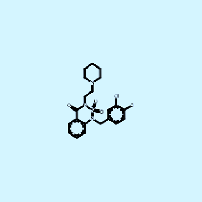 O=C1c2ccccc2N(Cc2ccc(Cl)c(Cl)c2)S(=O)(=O)N1CCN1CCCCC1